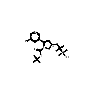 CC(C)(C)OC(=O)N1C[C@H](CC(C)(C)[Si](C)(C)O)CC1c1cncc(F)c1